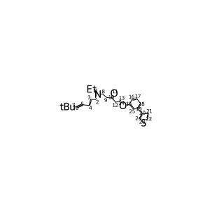 CCN(C/C=C/C#CC(C)(C)C)CCC(=O)CCOc1cccc(-c2ccsc2)c1